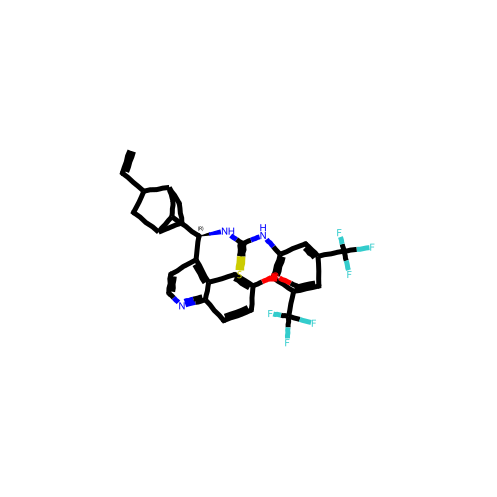 C=CC1CC2CCC1CC2[C@@H](NC(=S)Nc1cc(C(F)(F)F)cc(C(F)(F)F)c1)c1ccnc2ccc(OC)cc12